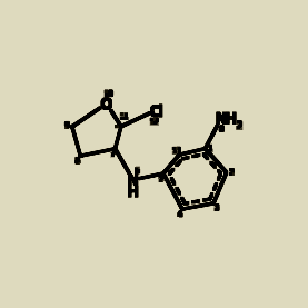 Nc1cccc(NC2CCO[C]2Cl)c1